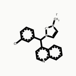 CN1[C+]N(C(c2cccc(Cl)c2)c2ccnc3ccccc23)C=C1.[I-]